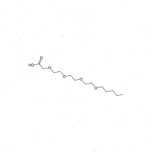 CCCCCOCCOCCOCCOCC(=O)O